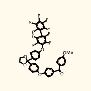 COc1ccc(C(=O)c2ccc(Oc3ccc(C4(c5ccc(Oc6c(F)c(F)c(-c7c(F)c(F)c(F)c(F)c7F)c(F)c6F)cc5)OCCO4)cc3)cc2)cc1